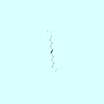 C[Si](C)(Cl)CCCC/C=C/CCCC[Si](C)(C)Cl